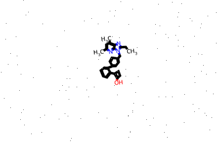 CCc1nc2c(C)cc(C)nc2n1Cc1ccc(-c2ccccc2C2=C(O)CC2)cc1